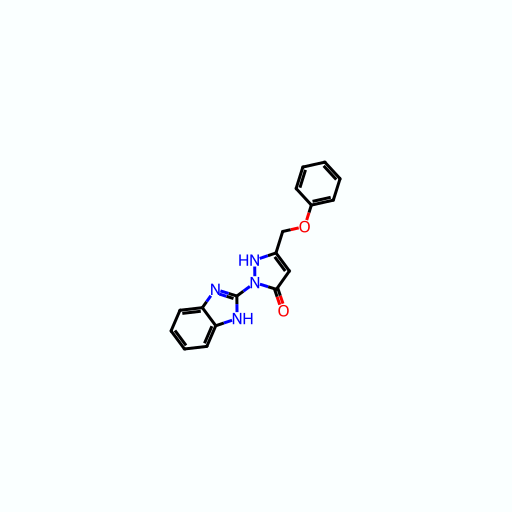 O=c1cc(COc2ccccc2)[nH]n1-c1nc2ccccc2[nH]1